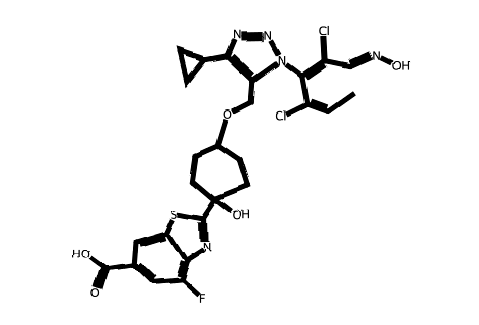 C\C=C(Cl)/C(=C(Cl)\C=N\O)n1nnc(C2CC2)c1COC1CCC(O)(c2nc3c(F)cc(C(=O)O)cc3s2)CC1